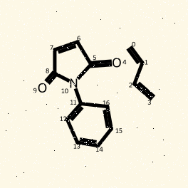 C=CC=C.O=C1C=CC(=O)N1c1ccccc1